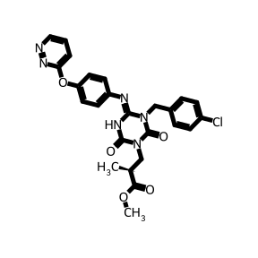 COC(=O)[C@@H](C)Cn1c(=O)[nH]/c(=N\c2ccc(Oc3cccnn3)cc2)n(Cc2ccc(Cl)cc2)c1=O